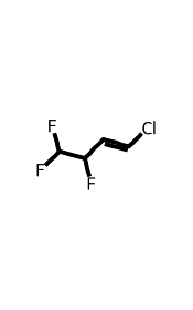 FC(F)C(F)C=CCl